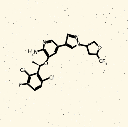 C[C@@H](Oc1cc(-c2cnn(C3COC(C(F)(F)F)C3)c2)cnc1N)c1c(Cl)ccc(F)c1Cl